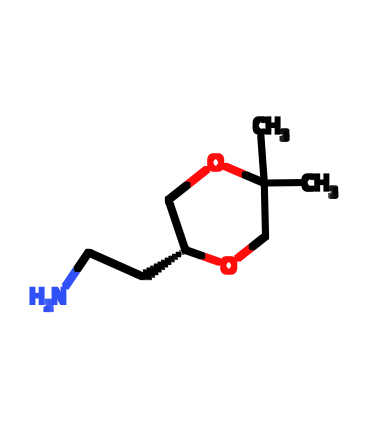 CC1(C)CO[C@H](CCN)CO1